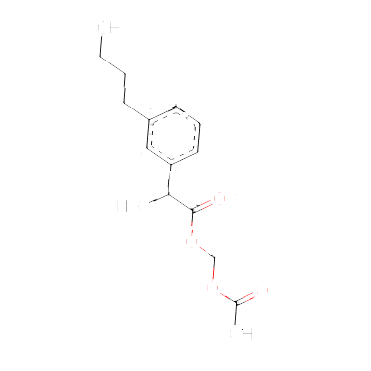 CCCCc1cccc(C(C)C(=O)OCOC(C)=O)c1